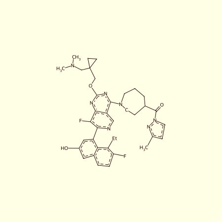 CCc1c(F)ccc2cc(O)cc(-c3ncc4c(N5CCCC(C(=O)n6ccc(C)n6)CC5)nc(OCC5(CN(C)C)CC5)nc4c3F)c12